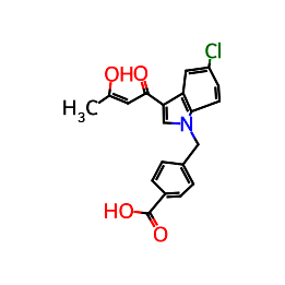 CC(O)=CC(=O)c1cn(Cc2ccc(C(=O)O)cc2)c2ccc(Cl)cc12